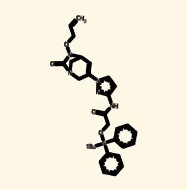 C=CCON1C(=O)N2CC(n3ccc(NC(=O)CO[Si](c4ccccc4)(c4ccccc4)C(C)(C)C)n3)=CC1C2